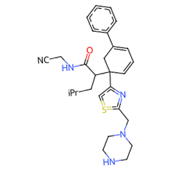 CC(C)CC(C(=O)NCC#N)C1(c2csc(CN3CCNCC3)n2)C=CC=C(c2ccccc2)C1